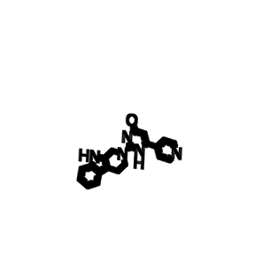 O=c1cc(-c2ccncc2)[nH]c(N2CCc3c([nH]c4ccccc34)C2)n1